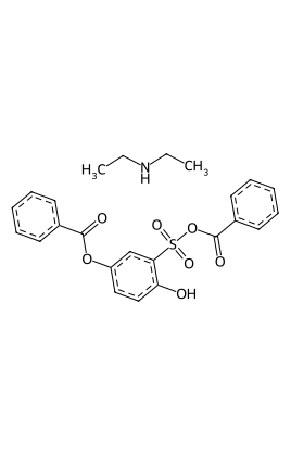 CCNCC.O=C(Oc1ccc(O)c(S(=O)(=O)OC(=O)c2ccccc2)c1)c1ccccc1